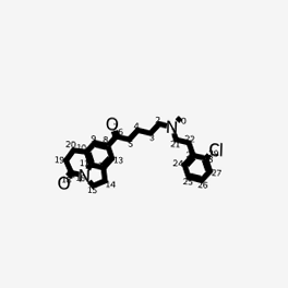 CN(CCCCC(=O)c1cc2c3c(c1)CCN3C(=O)CC2)CCc1ccccc1Cl